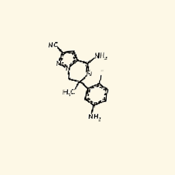 CC1(c2cc(N)ccc2F)Cn2nc(C#N)cc2C(N)=N1